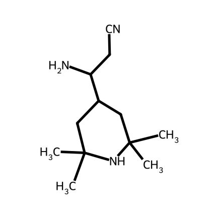 CC1(C)CC(C(N)CC#N)CC(C)(C)N1